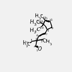 CCC(C)(C=O)/C=C/C1CC=C(C)C1(C)C